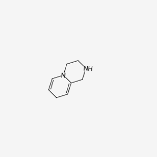 C1=CN2CCNCC2=CC1